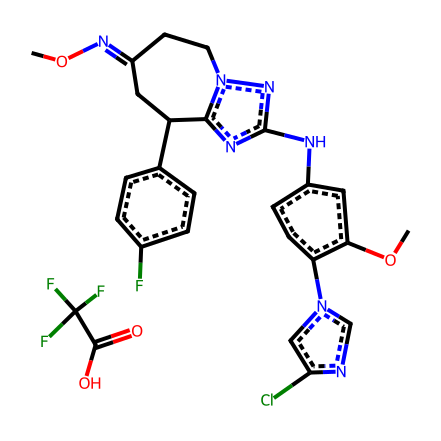 CO/N=C1/CCn2nc(Nc3ccc(-n4cnc(Cl)c4)c(OC)c3)nc2C(c2ccc(F)cc2)C1.O=C(O)C(F)(F)F